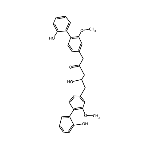 COc1cc(CC(=O)CC(O)Cc2ccc(-c3ccccc3O)c(OC)c2)ccc1-c1ccccc1O